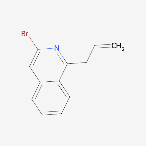 C=CCc1nc(Br)cc2ccccc12